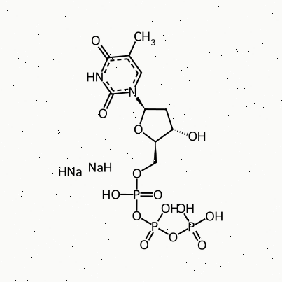 Cc1cn([C@H]2C[C@H](O)[C@@H](COP(=O)(O)OP(=O)(O)OP(=O)(O)O)O2)c(=O)[nH]c1=O.[NaH].[NaH]